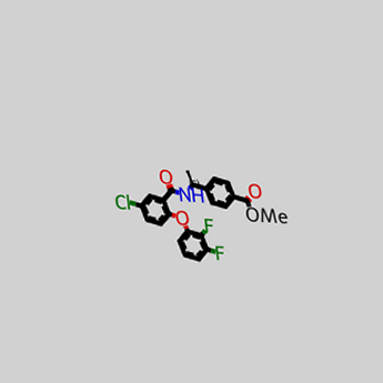 COC(=O)c1ccc([C@H](C)NC(=O)c2cc(Cl)ccc2Oc2cccc(F)c2F)cc1